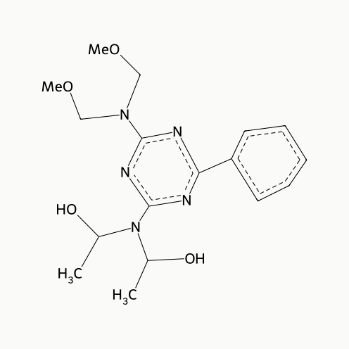 COCN(COC)c1nc(-c2ccccc2)nc(N(C(C)O)C(C)O)n1